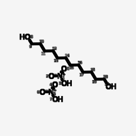 O=[N+]([O-])O.O=[N+]([O-])O.OCCCCCCCCCCCCO